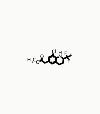 COC(=O)Cc1cc(Cl)c2c(c1)CCC(C(F)(F)F)N2